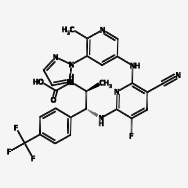 Cc1ncc(Nc2nc(N[C@H](c3ccc(C(F)(F)F)cc3)[C@H](C)NC(=O)O)c(F)cc2C#N)cc1-n1nccn1